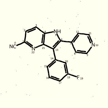 N#Cc1ccc2[nH]c(-c3ccncc3)c(-c3cccc(F)c3)c2n1